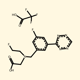 O=C(O)C(F)(F)F.O=C(O)CN(CCF)Cc1cc(F)cc(-c2nncnn2)c1